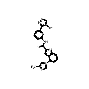 CC(C)n1cnnc1-c1cccc(NC(=O)c2cc3c(-n4cnc(C(F)(F)F)c4)cccc3o2)n1